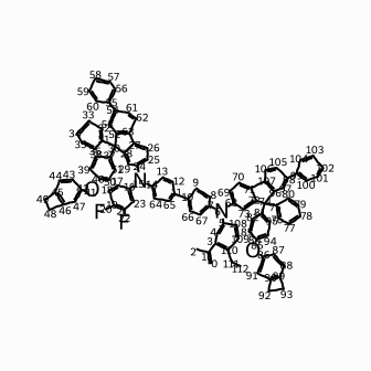 C=C(C)c1cc(N(c2ccc(-c3ccc(N(c4ccc(F)c(F)c4)c4ccc5c(c4)C(c4ccccc4)(c4ccc(Oc6ccc7c(c6)CC7)cc4)c4cc(-c6ccccc6)ccc4-5)cc3)cc2)c2ccc3c(c2)C(c2ccccc2)(c2ccc(Oc4ccc5c(c4)CC5)cc2)c2cc(-c4ccccc4)ccc2-3)ccc1CC